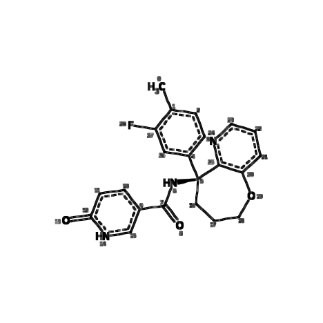 Cc1ccc([C@@]2(NC(=O)c3ccc(=O)[nH]c3)CCCOc3cccnc32)cc1F